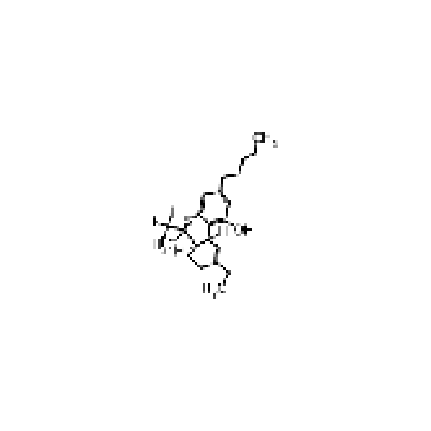 CCCCCc1cc(O)c2c(c1)SC(C)(C(I)(I)I)[C@@H]1CCC(CC)=C[C@@H]21